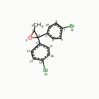 CC1OC1(c1ccc(Br)cc1)c1ccc(Br)cc1